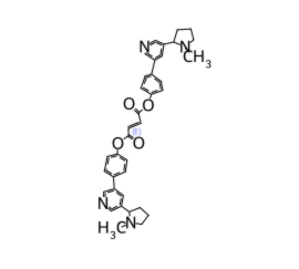 CN1CCCC1c1cncc(-c2ccc(OC(=O)/C=C/C(=O)Oc3ccc(-c4cncc(C5CCCN5C)c4)cc3)cc2)c1